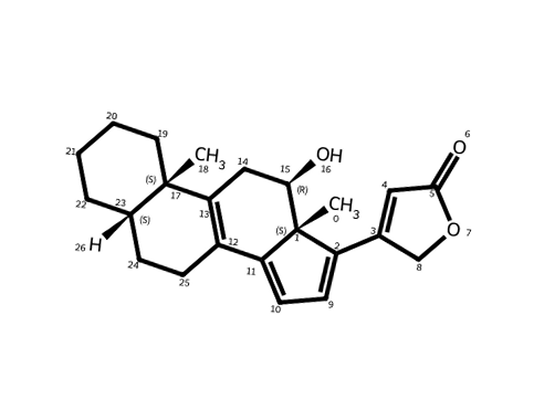 C[C@@]12C(C3=CC(=O)OC3)=CC=C1C1=C(C[C@H]2O)[C@@]2(C)CCCC[C@H]2CC1